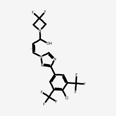 OC(/C=C\n1cnc(-c2cc(C(F)(F)F)c(Cl)c(C(F)(F)F)c2)n1)N1CC(F)(F)C1